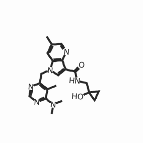 Cc1cnc2c(C(=O)NCC3(O)CC3)cn(Cc3ncnc(N(C)C)c3C)c2c1